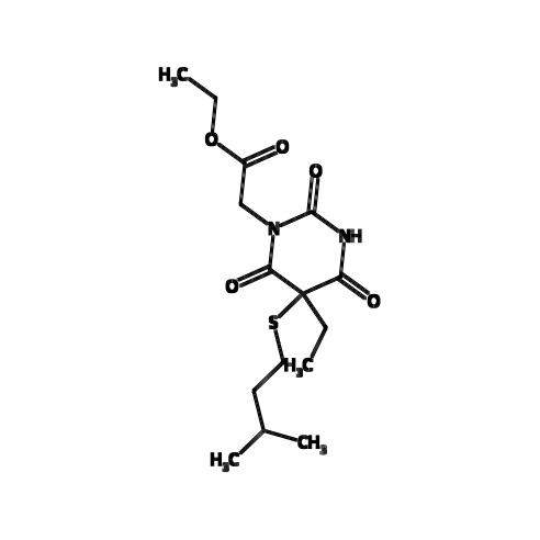 CCOC(=O)CN1C(=O)NC(=O)C(CC)(SCCC(C)C)C1=O